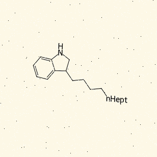 CCCCCCCCCCCC1CNc2ccccc21